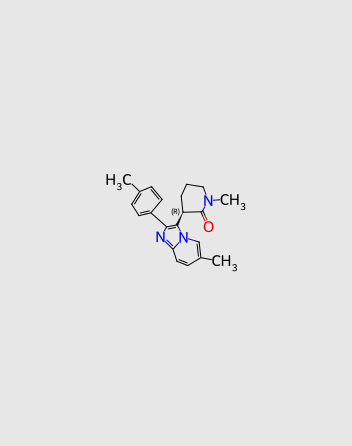 Cc1ccc(-c2nc3ccc(C)cn3c2[C@H]2CCCN(C)C2=O)cc1